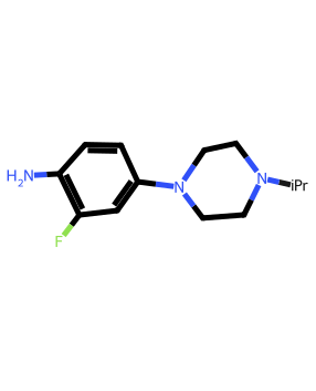 CC(C)N1CCN(c2ccc(N)c(F)c2)CC1